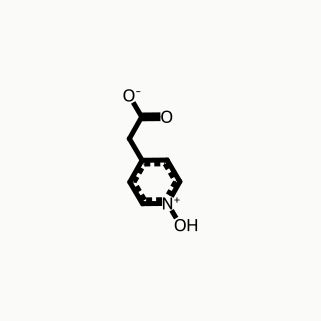 O=C([O-])Cc1cc[n+](O)cc1